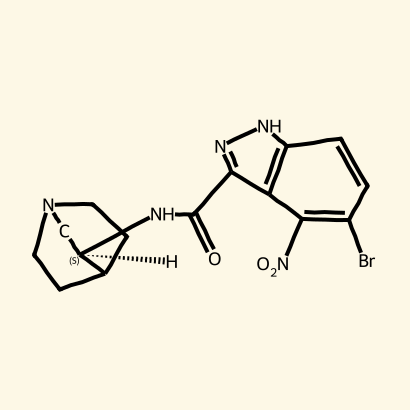 O=C(N[C@@H]1CN2CCC1CC2)c1n[nH]c2ccc(Br)c([N+](=O)[O-])c12